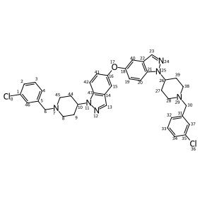 Clc1cccc(CN2CCC(n3ncc4cc(Oc5ccc6c(cnn6C6CCN(Cc7cccc(Cl)c7)CC6)c5)ccc43)CC2)c1